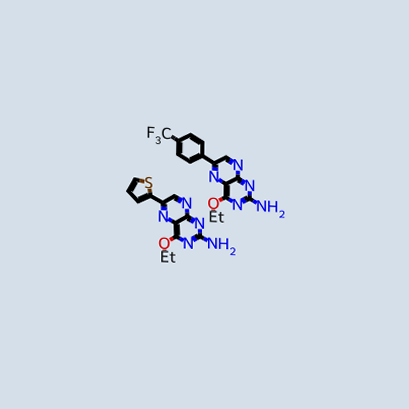 CCOc1nc(N)nc2ncc(-c3ccc(C(F)(F)F)cc3)nc12.CCOc1nc(N)nc2ncc(-c3cccs3)nc12